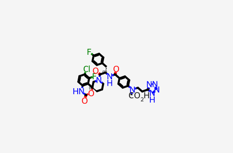 O=C1Nc2ccc(Cl)c(F)c2[C@@]2(CCCN(C(=O)[C@H](Cc3ccc(F)cc3)NC(=O)c3ccc(N(CCc4nnn[nH]4)C(=O)O)cc3)C2)O1